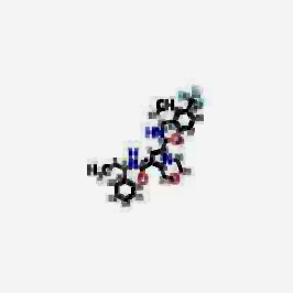 CC[C@@H](NC(=O)c1cc(C(=O)N[C@H](CC)c2cccc(C(F)(F)F)c2)n2c1COCC2)c1ccccc1